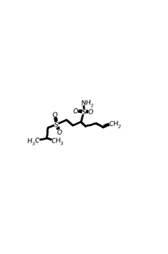 C=CCCC(CCS(=O)(=O)CC(C)C)S(N)(=O)=O